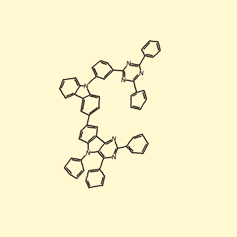 c1ccc(-c2nc(-c3ccccc3)nc(-c3cccc(-n4c5ccccc5c5cc(-c6ccc7c(c6)c6nc(-c8ccccc8)nc(-c8ccccc8)c6n7-c6ccccc6)ccc54)c3)n2)cc1